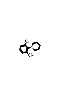 N#Cc1cccc(Cl)c1N1CCCCC1